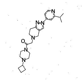 CC(C)c1cc(-n2cc3c(n2)CCN(CC(=O)N2CCN(C4CCC4)CC2)C3)ccn1